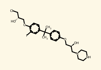 CC(C)(c1ccc(OC[C@@H](O)CN2CCNCC2)cc1)c1ccc(OC[C@H](O)CCl)c(I)c1